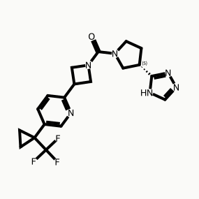 O=C(N1CC(c2ccc(C3(C(F)(F)F)CC3)cn2)C1)N1CC[C@H](c2nnc[nH]2)C1